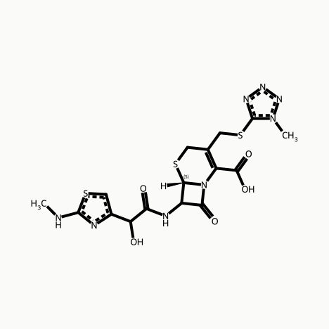 CNc1nc(C(O)C(=O)NC2C(=O)N3C(C(=O)O)=C(CSc4nnnn4C)CS[C@@H]23)cs1